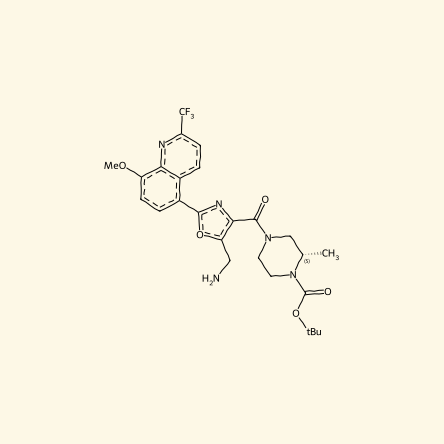 COc1ccc(-c2nc(C(=O)N3CCN(C(=O)OC(C)(C)C)[C@@H](C)C3)c(CN)o2)c2ccc(C(F)(F)F)nc12